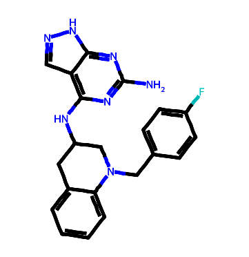 Nc1nc(NC2Cc3ccccc3N(Cc3ccc(F)cc3)C2)c2cn[nH]c2n1